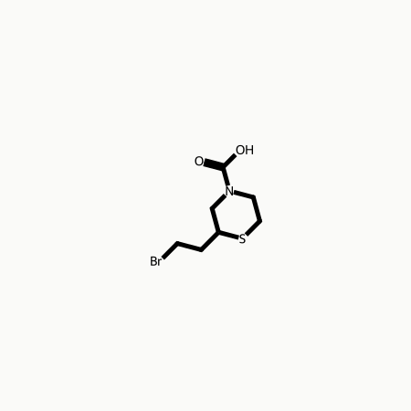 O=C(O)N1CCSC(CCBr)C1